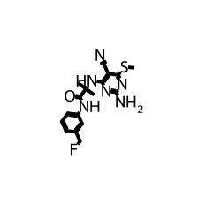 CSc1nc(N)nc(NC(C)(C)C(=O)Nc2cccc(CF)c2)c1C#N